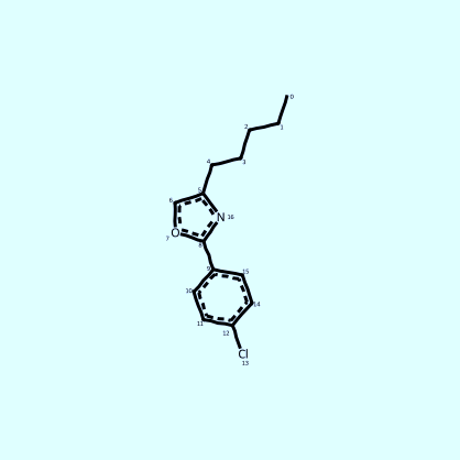 CCCCCc1coc(-c2ccc(Cl)cc2)n1